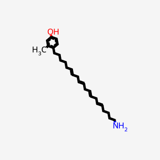 Cc1cc(O)ccc1CCCCCC=CCC=CCC=CCC=CCCCCN